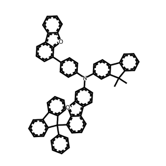 CC1(C)c2ccccc2-c2ccc(N(c3ccc(-c4cccc5c4oc4ccccc45)cc3)c3ccc4c(c3)oc3c(C5(c6ccccc6)c6ccccc6-c6ccccc65)cccc34)cc21